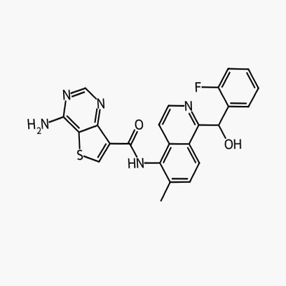 Cc1ccc2c(C(O)c3ccccc3F)nccc2c1NC(=O)c1csc2c(N)ncnc12